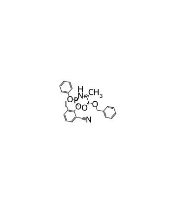 C[C@H](NP(Oc1ccccc1)Oc1c(I)cccc1C#N)C(=O)OCc1ccccc1